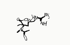 CC(=O)N(C)C(C)(CCCNC(=N)N)C(=O)O